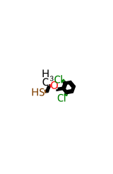 CC(CS)OCc1c(Cl)cccc1Cl